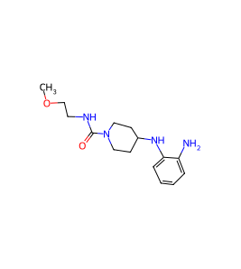 COCCNC(=O)N1CCC(Nc2ccccc2N)CC1